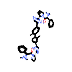 Cc1cc(-c2cnc([C@@H]3CCCN3C(=O)C(c3ccccc3)N(C)C)[nH]2)ccc1-c1ccc(-c2cnc([C@@H]3CCCN3C(=O)[C@@H](c3ccccc3)N(C)C)[nH]2)cc1C